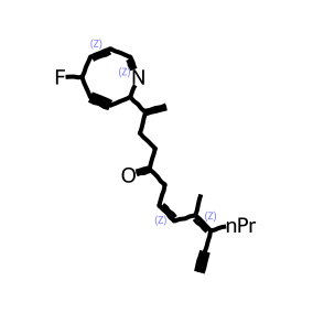 C#C/C(CCC)=C(C)\C=C/CC(=O)CCC(=C)C1C#CC(F)/C=C\C=N/1